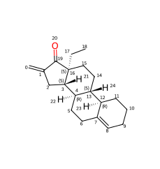 C=C1C[C@H]2[C@@H]3CCC4=CCCC[C@@H]4[C@H]3CC[C@]2(CC)C1=O